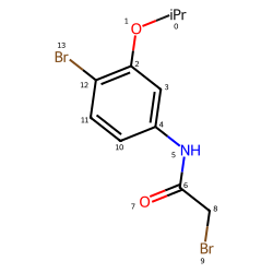 CC(C)Oc1cc(NC(=O)CBr)ccc1Br